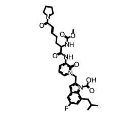 COC(=O)NC(CCC=CC(=O)N1CCCC1)C(=O)Nc1cccn(Cc2cc3cc(F)cc(CC(C)C)c3n2C(=O)O)c1=O